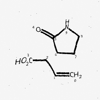 C=CCC(=O)O.O=C1CCCN1